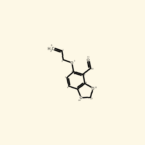 C=CCOc1ccc2c(c1C=O)OCO2